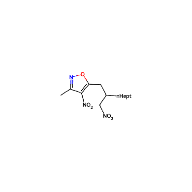 CCCCCCCC(Cc1onc(C)c1[N+](=O)[O-])C[N+](=O)[O-]